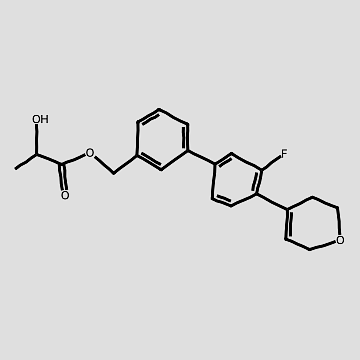 CC(O)C(=O)OCc1cccc(-c2ccc(C3=CCOCC3)c(F)c2)c1